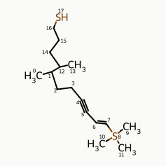 CC(CCC#CC=CS(C)(C)C)C(C)CCCS